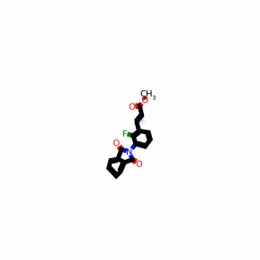 COC(=O)/C=C/c1cccc(N2C(=O)c3ccccc3C2=O)c1F